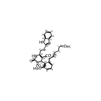 CCCCCCCCCCCCCCCc1cccc(OC)c1C1C(C(=O)OCC)=C(CSc2nc3ccccc3[nH]2)NC(=O)N1C(=O)OCC